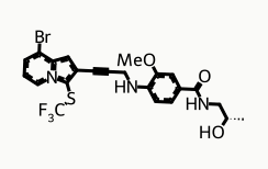 COc1cc(C(=O)NC[C@H](C)O)ccc1NCC#Cc1cc2c(Br)cccn2c1SC(F)(F)F